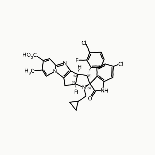 Cc1cn2c3c(nc2cc1C(=O)O)[C@@H]1[C@H](C3)N(CC2CC2)[C@@]2(C(=O)Nc3cc(Cl)ccc32)[C@H]1c1cccc(Cl)c1F